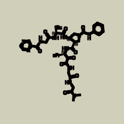 CCC[C@H](NC(=O)[C@@H]1CN(C(=O)Nc2ccccc2)C[C@@H]1NC(=O)[C@@H](NC(=O)CNC(=O)c1cnccn1)C(C)(C)C)C(=O)C(=O)NCC(=O)NCC(=O)N(C)C